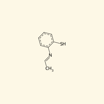 C/C=N/c1ccccc1S